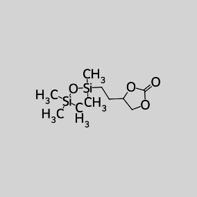 C[Si](C)(C)O[Si](C)(C)CCC1COC(=O)O1